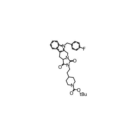 CC(C)(C)OC(=O)N1CCC(CCN2C(=O)C3Cc4c(n(Cc5ccc(F)cc5)c5ccccc45)CN3C2=O)CC1